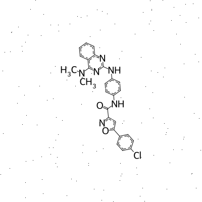 CN(C)c1nc(Nc2ccc(NC(=O)c3cc(-c4ccc(Cl)cc4)on3)cc2)nc2ccccc12